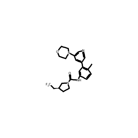 Cc1ccc(NC(=O)N2CC[C@@H](CC(F)(F)F)C2)cc1-c1cncc(N2CCOCC2)c1